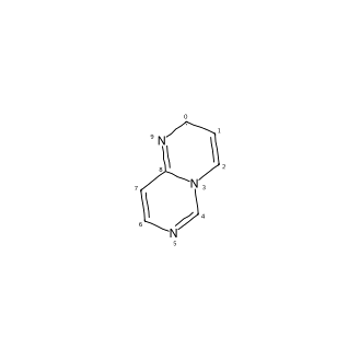 [CH]1C=CN2C=NC=CC2=N1